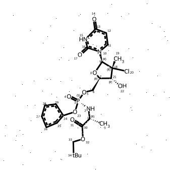 C[C@@H](N[P@](=O)(OC[C@H]1O[C@@H](n2ccc(=O)[nH]c2=O)[C@](C)(Cl)[C@@H]1O)Oc1ccccc1)C(=O)OCC(C)(C)C